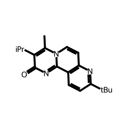 Cc1c(C(C)C)c(=O)nc2c3ccc(C(C)(C)C)nc3ccn12